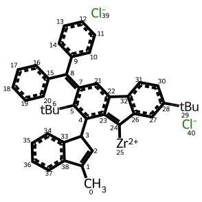 CC1=CC(c2c(C(C)(C)C)c(=C(c3ccccc3)c3ccccc3)cc3c2=[C]([Zr+2])c2cc(C(C)(C)C)ccc2-3)c2ccccc21.[Cl-].[Cl-]